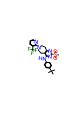 CC(C)(C)c1ccc(Nc2nc(S(C)(=O)=O)nc3c2CCN(c2ncccc2C(F)(F)F)CC3)cc1